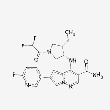 CC[C@H]1CN(C(=O)C(F)F)C[C@H]1Nc1c(C(N)=O)cnn2cc(-c3ccc(F)nc3)cc12